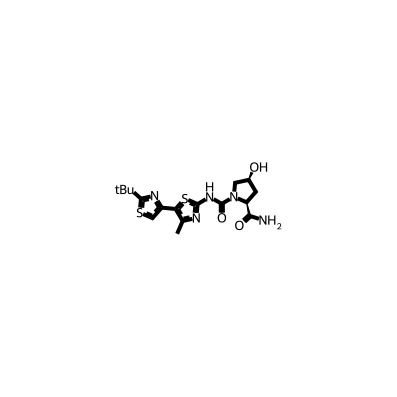 Cc1nc(NC(=O)N2C[C@@H](O)C[C@H]2C(N)=O)sc1-c1csc(C(C)(C)C)n1